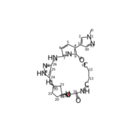 Cn1cc(-c2ccc3nc2OCCCCNC(=O)O[C@@H]2CC[C@@H](C2)c2cc(n[nH]2)N3)cn1